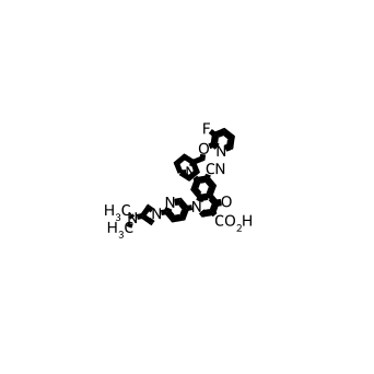 CN(C)C1CN(c2ccc(-n3cc(C(=O)O)c(=O)c4cc(C#N)c(N5C6CCC5(COc5ncccc5F)CC6)cc43)cn2)C1